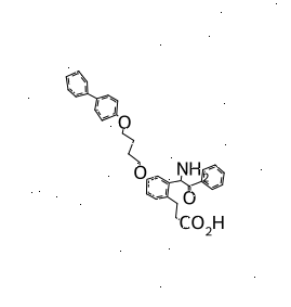 NC(C(=O)c1ccccc1)c1cc(OCCCCOc2ccc(-c3ccccc3)cc2)ccc1CCC(=O)O